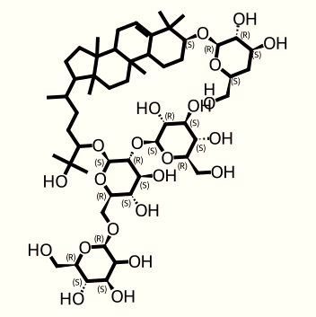 CC(CCC(O[C@@H]1O[C@H](CO[C@@H]2O[C@H](CO)[C@@H](O)[C@H](O)C2O)[C@@H](O)[C@H](O)[C@H]1O[C@@H]1O[C@H](CO)[C@@H](O)[C@H](O)[C@H]1O)C(C)(C)O)C1CCC2(C)C3CC=C4C(CC[C@H](O[C@@H]5O[C@H](CO)C[C@H](O)[C@H]5O)C4(C)C)C3(C)CCC12C